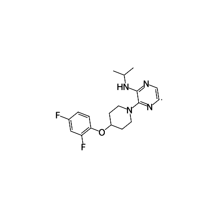 CC(C)Nc1nc[c]nc1N1CCC(Oc2ccc(F)cc2F)CC1